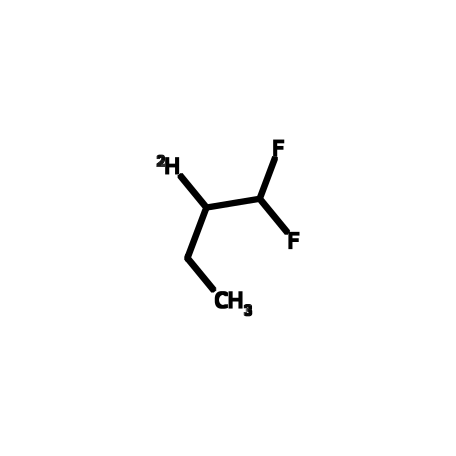 [2H]C(CC)C(F)F